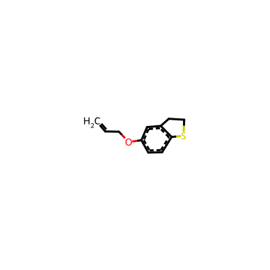 C=CCOc1ccc2c(c1)CCS2